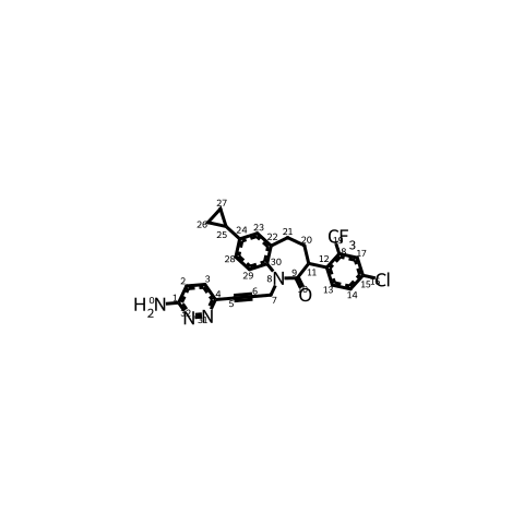 Nc1ccc(C#CCN2C(=O)C(c3ccc(Cl)cc3C(F)(F)F)CCc3cc(C4CC4)ccc32)nn1